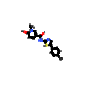 Cn1cc(C(=O)Nc2ncc(-c3ccc(C#N)cc3)s2)ccc1=O